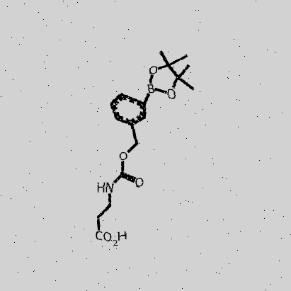 CC1(C)OB(c2cccc(COC(=O)NCCC(=O)O)c2)OC1(C)C